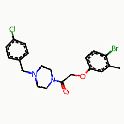 Cc1cc(OCC(=O)N2CCN(Cc3ccc(Cl)cc3)CC2)ccc1Br